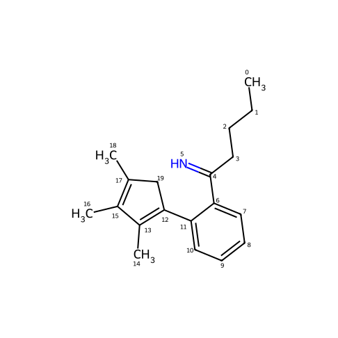 CCCCC(=N)c1ccccc1C1=C(C)C(C)=C(C)C1